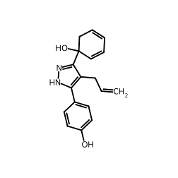 C=CCc1c(C2(O)C=CC=CC2)n[nH]c1-c1ccc(O)cc1